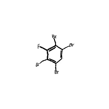 Fc1c(Br)c(Br)[c]c(Br)c1Br